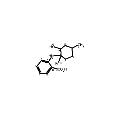 CC1CCC(Nc2ccccc2C(=O)O)(C(C)C)C(O)C1